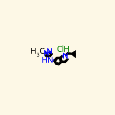 Cl.Cn1cc(Nc2ccc3c(c2)CN(CC2CC2)CC3)cn1